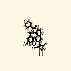 COc1cc2c(cc1-c1c(C)n[nH]c1C)ncc1nc(C3CCOCC3)n([C@H](C)c3ccccc3)c12